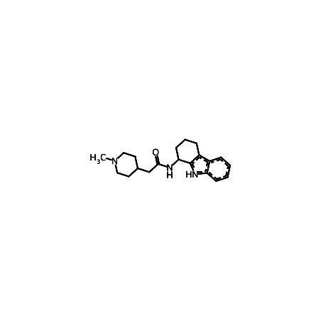 CN1CCC(CC(=O)NC2CCCc3c2[nH]c2ccccc32)CC1